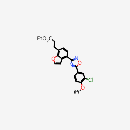 CCOC(=O)CCc1ccc(-c2noc(-c3ccc(OC(C)C)c(Cl)c3)n2)c2ccoc12